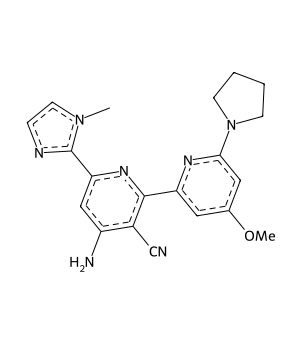 COc1cc(-c2nc(-c3nccn3C)cc(N)c2C#N)nc(N2CCCC2)c1